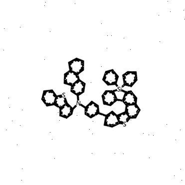 c1ccc([Si]2(c3ccccc3)c3ccccc3-c3c2ccc2ccc4sc5ccc(-c6ccc(N(c7ccc8c(ccc9ccccc98)c7)c7cccc8c7sc7ccccc78)cc6)cc5c4c32)cc1